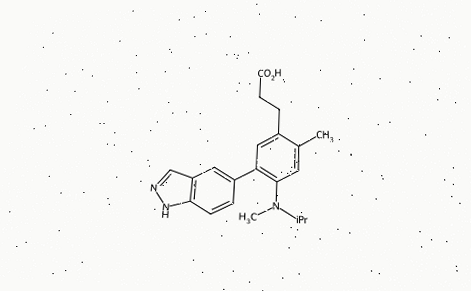 Cc1cc(N(C)C(C)C)c(-c2ccc3[nH]ncc3c2)cc1CCC(=O)O